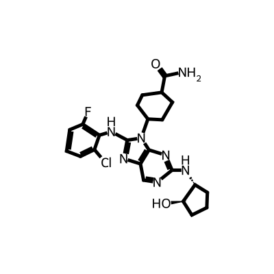 NC(=O)C1CCC(n2c(Nc3c(F)cccc3Cl)nc3cnc(N[C@@H]4CCC[C@H]4O)nc32)CC1